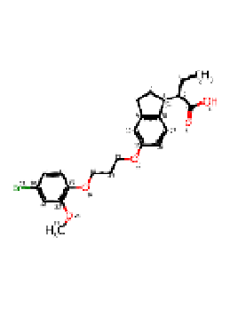 CCC(C(=O)O)[C@@H]1CCc2cc(OCCCOc3ccc(Br)cc3OC)ccc21